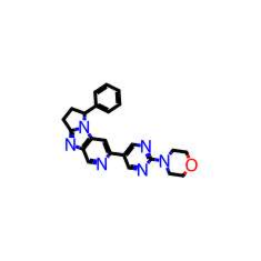 c1ccc(C2CCc3nc4cnc(-c5cnc(N6CCOCC6)nc5)cc4n32)cc1